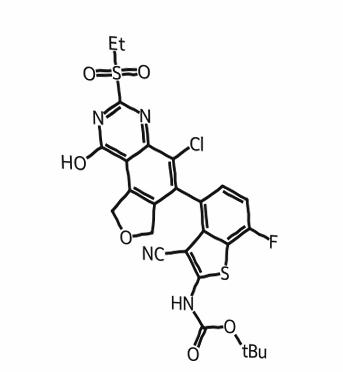 CCS(=O)(=O)c1nc(O)c2c3c(c(-c4ccc(F)c5sc(NC(=O)OC(C)(C)C)c(C#N)c45)c(Cl)c2n1)COC3